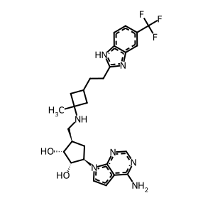 CC1(NC[C@H]2C[C@@H](n3ccc4c(N)ncnc43)[C@H](O)[C@@H]2O)CC(CCc2nc3cc(C(F)(F)F)ccc3[nH]2)C1